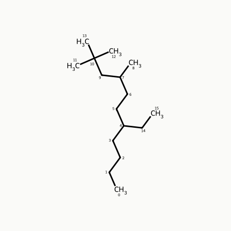 CCCCC([CH]CC(C)CC(C)(C)C)CC